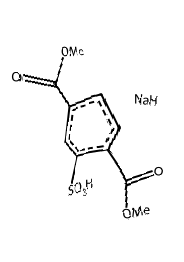 COC(=O)c1ccc(C(=O)OC)c(S(=O)(=O)O)c1.[NaH]